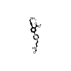 COC(=O)c1cc(N2CCN(CCCNC=O)CC2)ccc1C#CCN